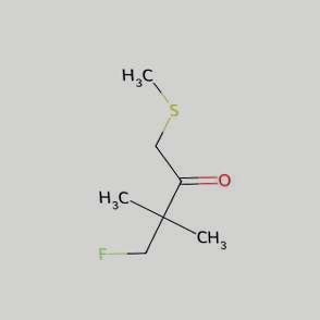 CSCC(=O)C(C)(C)CF